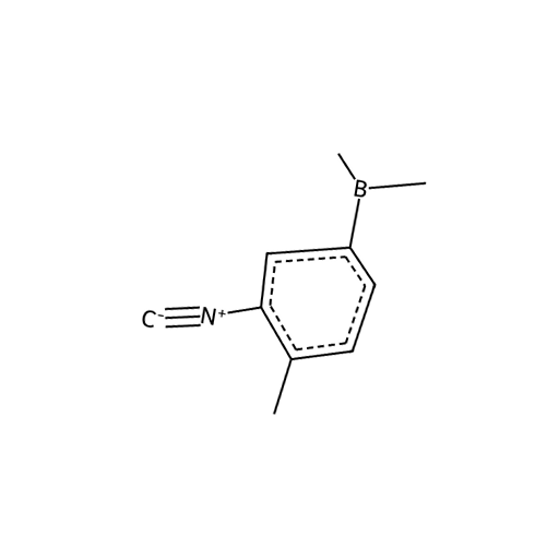 [C-]#[N+]c1cc(B(C)C)ccc1C